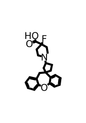 O=C(O)C1(F)CCN(C2CCC3(Cc4ccccc4Oc4ccccc43)C2)CC1